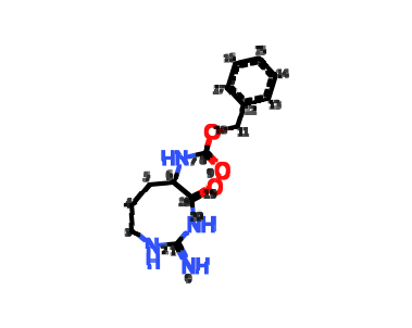 N=C1NCCCC(NC(=O)OCc2ccccc2)C(=O)N1